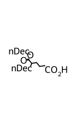 CCCCCCCCCCOC(=O)C(CCCCCCCCCC)CCCC(=O)O